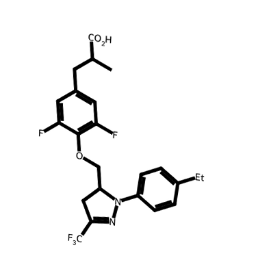 CCc1ccc(N2N=C(C(F)(F)F)CC2COc2c(F)cc(CC(C)C(=O)O)cc2F)cc1